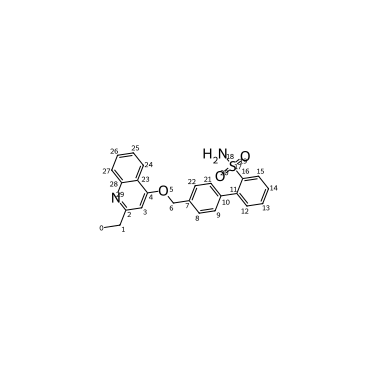 CCc1cc(OCc2ccc(-c3ccccc3S(N)(=O)=O)cc2)c2ccccc2n1